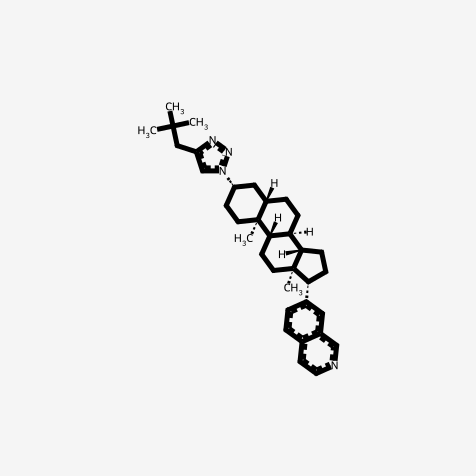 CC(C)(C)Cc1cn([C@H]2CC[C@@]3(C)[C@@H](CC[C@@H]4[C@@H]3CC[C@]3(C)[C@@H](c5ccc6ccncc6c5)CC[C@@H]43)C2)nn1